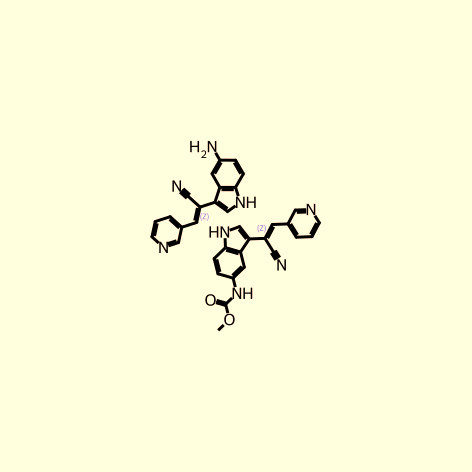 COC(=O)Nc1ccc2[nH]cc(/C(C#N)=C/c3cccnc3)c2c1.N#C/C(=C\c1cccnc1)c1c[nH]c2ccc(N)cc12